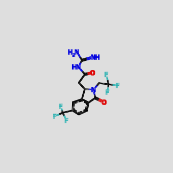 N=C(N)NC(=O)CC1c2cc(C(F)(F)F)ccc2C(=O)N1CC(F)(F)F